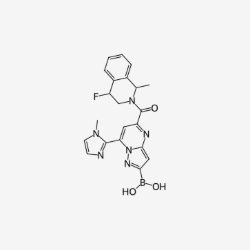 CC1c2ccccc2C(F)CN1C(=O)c1cc(-c2nccn2C)n2nc(B(O)O)cc2n1